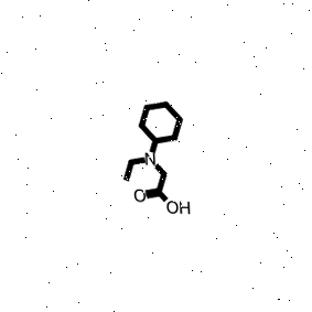 CCN(CC(=O)O)C1CCCCC1